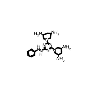 N[C@@H]1C[C@H](N)CN(c2nc(NNc3ccccc3)nc(N3C[C@H](N)C[C@H](N)C3)n2)C1